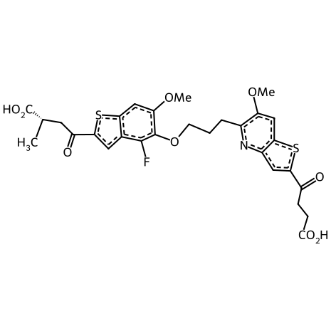 COc1cc2sc(C(=O)CCC(=O)O)cc2nc1CCCOc1c(OC)cc2sc(C(=O)C[C@H](C)C(=O)O)cc2c1F